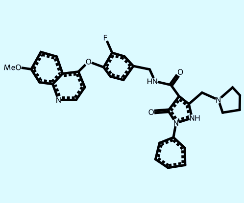 COc1ccc2c(Oc3ccc(CNC(=O)c4c(CN5CCCC5)[nH]n(-c5ccccc5)c4=O)cc3F)ccnc2c1